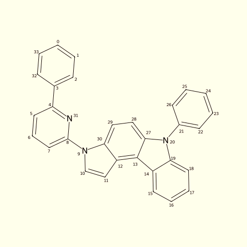 c1ccc(-c2cccc(-n3ccc4c5c6ccccc6n(-c6ccccc6)c5ccc43)n2)cc1